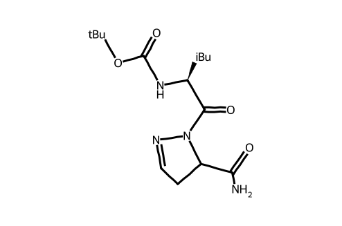 CCC(C)[C@H](NC(=O)OC(C)(C)C)C(=O)N1N=CCC1C(N)=O